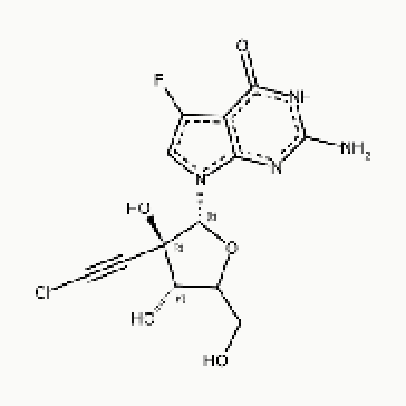 Nc1nc2c(c(F)cn2[C@@H]2OC(CO)[C@H](O)[C@]2(O)C#CCl)c(=O)[nH]1